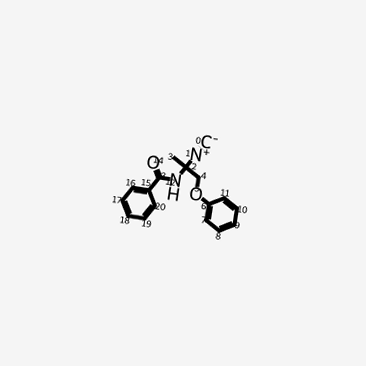 [C-]#[N+]C(C)(COc1ccccc1)NC(=O)c1ccccc1